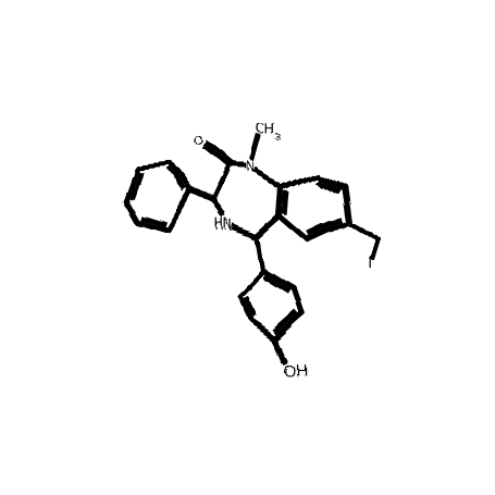 CN1C(=O)C(c2ccccc2)NC(c2ccc(O)cc2)c2cc(CI)ccc21